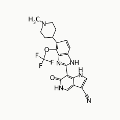 CN1CCC(c2ccc3[nH]c(-c4c(=O)[nH]cc5c(C#N)c[nH]c45)nc3c2OC(F)(F)F)CC1